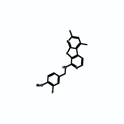 COc1ccc(CNc2nccc3c2sc2nc(C)cc(C)c23)cc1F